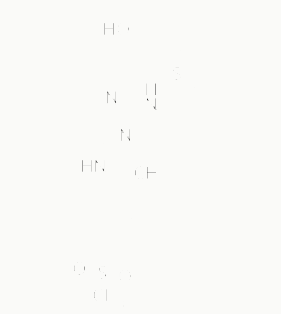 CC(Nc1nc(NCc2ccccc2Sc2ccccc2CO)nc2ccccc12)c1ccc(S(C)(=O)=O)cc1